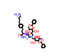 NCCCCc1ccc(CCC(NCCCN(C[C@H](O)[C@@H](O)[C@@H]2OC(c3ccccc3)OC[C@H]2O)C[C@H](O)[C@@H](O)[C@@H]2OC(c3ccccc3)OC[C@H]2O)C(N)=O)cc1